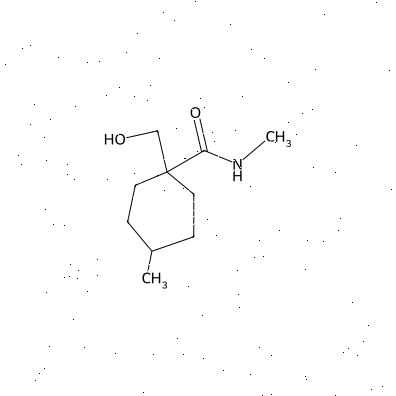 CNC(=O)C1(CO)CCC(C)CC1